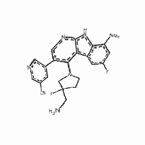 CNc1cc(F)cc2c1[nH]c1ncc(-c3cncc(C#N)c3)c(N3CCC(F)(CN)C3)c12